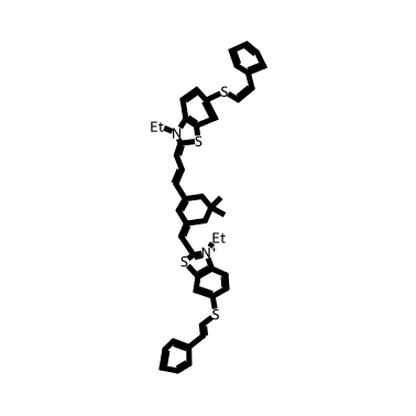 CCN1/C(=C/C=C/C2=CC(=C/c3sc4cc(S/C=C/c5ccccc5)ccc4[n+]3CC)/CC(C)(C)C2)Sc2cc(S/C=C\c3ccccc3)ccc21